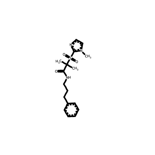 Cn1ccnc1S(=O)(=O)C(C)(C)C(=O)NCCCc1ccccc1